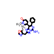 Cc1ocnc1Cc1nc2c(-c3ccc(=O)n(C)c3)c(-c3ccccc3)nc(N)n2n1